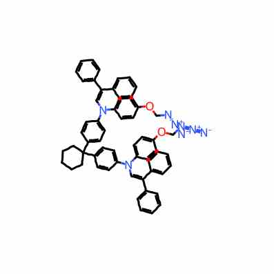 [N-]=[N+]=NCOc1ccc(N(C=C(c2ccccc2)c2ccccc2)c2ccc(C3(c4ccc(N(C=C(c5ccccc5)c5ccccc5)c5ccc(OCN=[N+]=[N-])cc5)cc4)CCCCC3)cc2)cc1